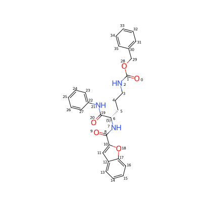 O=C(NCCC[C@H](NC(=O)c1cc2ccccc2o1)C(=O)Nc1ccccc1)OCc1ccccc1